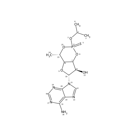 CC(C)OP1(=S)OC2C(O[C@@H](n3cnc4c(N)ncnc43)[C@@H]2O)[C@H](C)O1